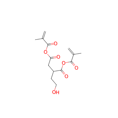 C=C(C)C(=O)OC(=O)CC(CCO)C(=O)OC(=O)C(=C)C